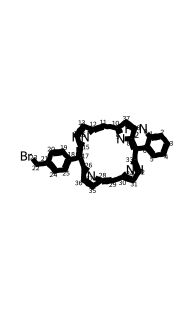 Nc1ccccc1-c1c2nc(cc3ccc([nH]3)c(-c3ccc(CBr)cc3)c3nc(cc4ccc1[nH]4)C=C3)C=C2